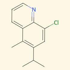 Cc1c(C(C)C)cc(Cl)c2ncccc12